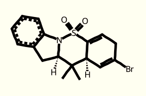 CC1(C)[C@@H]2C=C(Br)CC=C2S(=O)(=O)N2c3ccccc3C[C@@H]21